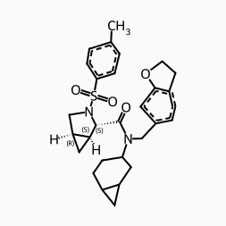 Cc1ccc(S(=O)(=O)N2C[C@@H]3C[C@@H]3[C@H]2C(=O)N(Cc2ccc3c(c2)OCC3)C2CCC3CC3C2)cc1